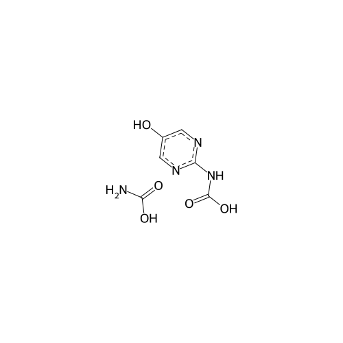 NC(=O)O.O=C(O)Nc1ncc(O)cn1